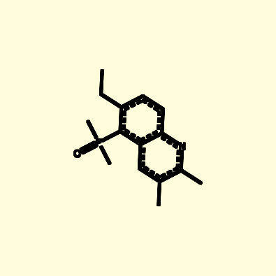 CCc1ccc2nc(C)c(C)cc2c1P(C)(C)=O